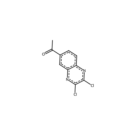 CC(=O)c1ccc2nc(Cl)c(Cl)nc2c1